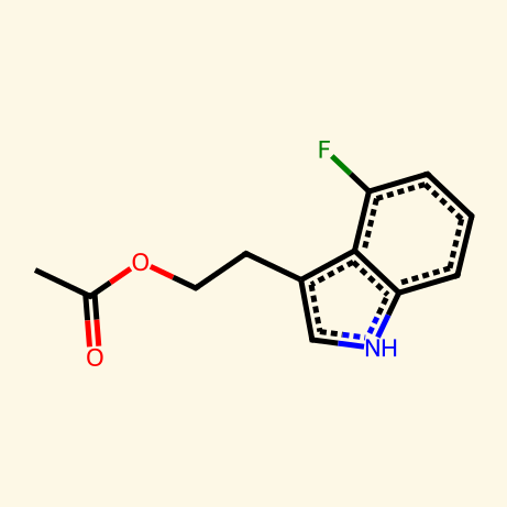 CC(=O)OCCc1c[nH]c2cccc(F)c12